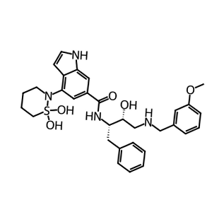 COc1cccc(CNC[C@@H](O)[C@H](Cc2ccccc2)NC(=O)c2cc(N3CCCCS3(O)O)c3cc[nH]c3c2)c1